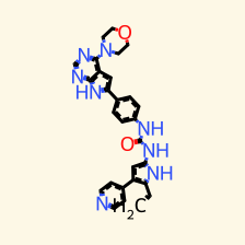 C=Cc1[nH]c(NC(=O)Nc2ccc(-c3cc4c(N5CCOCC5)ncnc4[nH]3)cc2)cc1-c1ccncc1